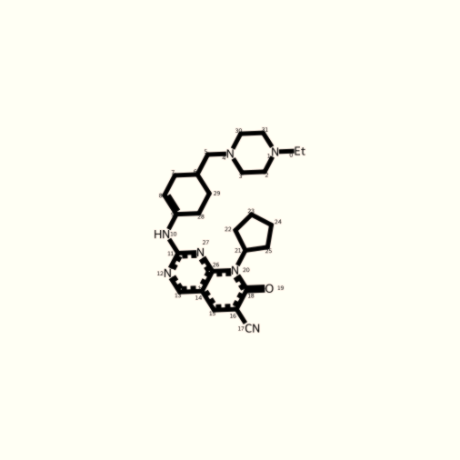 CCN1CCN(CC2CC=C(Nc3ncc4cc(C#N)c(=O)n(C5CCCC5)c4n3)CC2)CC1